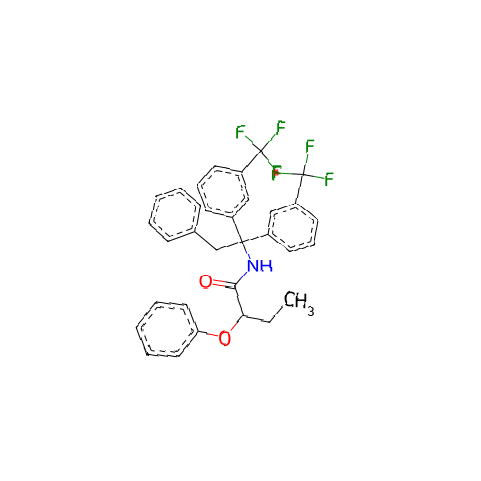 CCC(Oc1ccccc1)C(=O)NC(Cc1ccccc1)(c1cccc(C(F)(F)F)c1)c1cccc(C(F)(F)F)c1